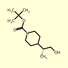 C[C@@H](CO)C1CCN(C(=O)OC(C)(C)C)CC1